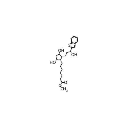 COC(=O)CCCCCC[C@@H]1[C@@H](CC[C@@H](O)c2cc3ccccc3s2)[C@H](O)C[C@H]1O